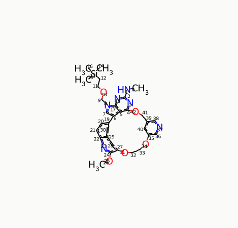 CNc1nc2c3c(cn(COCC[Si](C)(C)C)c3n1)-c1ccc3nc(OC)c(cc3c1)OCCOc1cncc(c1)CO2